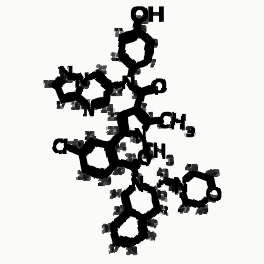 Cc1c(C(=O)N(c2ccc(O)cc2)c2cnc3ccnn3c2)cc(-c2cc(Cl)ccc2C(=O)N2Cc3ccccc3C[C@H]2CN2CCOCC2)n1C